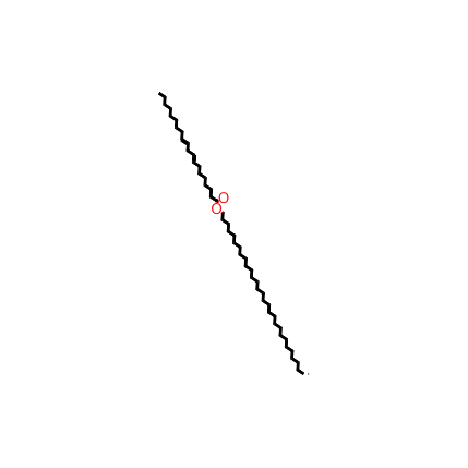 [CH2]CCCCCCCCCCCCCCCCCCCCCCCCCCCCOC(=O)CCCCCCC=CCC=CCCCCCCCC